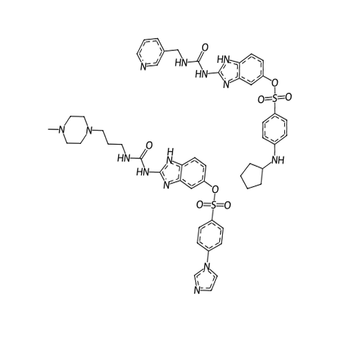 CN1CCN(CCCNC(=O)Nc2nc3cc(OS(=O)(=O)c4ccc(-n5ccnc5)cc4)ccc3[nH]2)CC1.O=C(NCc1cccnc1)Nc1nc2cc(OS(=O)(=O)c3ccc(NC4CCCC4)cc3)ccc2[nH]1